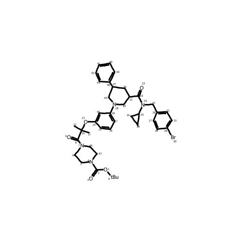 CC(C)(C)OC(=O)N1CCN(C(=O)C(C)(C)Oc2cccc(N3CC(C(=O)N(Cc4ccc(Br)cc4)C4CC4)CC(c4ccccc4)C3)c2)CC1